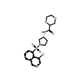 O=C(N[C@@H]1CCN(S(=O)(=O)c2cccc3cncc(Cl)c23)C1)C1COCCO1